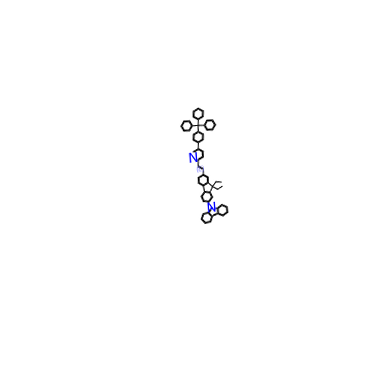 CCC1(CC)c2cc(/C=C/c3ccc(-c4ccc(C(c5ccccc5)(c5ccccc5)c5ccccc5)cc4)cn3)ccc2-c2ccc(-n3c4ccccc4c4ccccc43)cc21